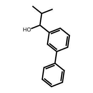 CC(C)C(O)c1cccc(-c2ccccc2)c1